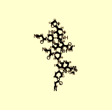 N#CCC(=O)N1CCC[C@@H](Nc2c(-c3nncs3)cnc3c2ccn3[C@@H]2C[C@H](Nc3c(-c4ncco4)cnc4c3ccn4[C@H]3C[C@@H](Nc4c(-c5ncco5)cnc5[nH]ccc45)CN(C(=O)CC#N)C3)CN(C(=O)CC#N)C2)C1